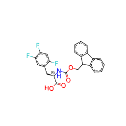 O=C(N[C@H](Cc1cc(F)c(F)cc1F)C(=O)O)OCC1c2ccccc2-c2ccccc21